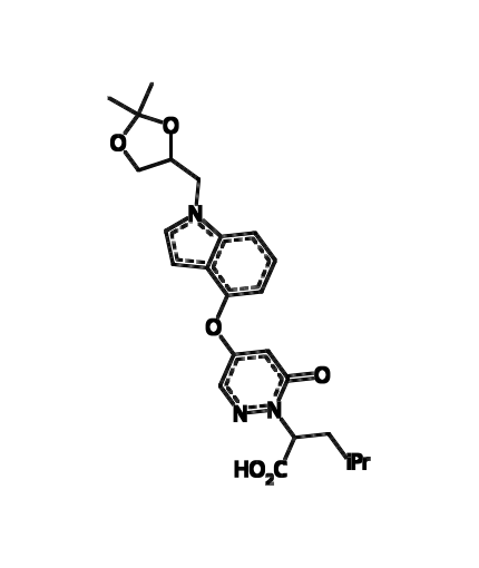 CC(C)CC(C(=O)O)n1ncc(Oc2cccc3c2ccn3CC2COC(C)(C)O2)cc1=O